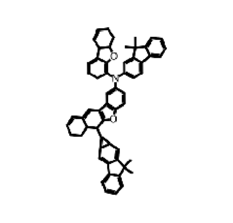 CC1(C)C2=CC3C(C=C2c2ccccc21)C3C1c2oc3ccc(N(C4=C5OC6CCC=CC6C5=CCC4)c4ccc5c(c4)C(C)(C)c4ccccc4-5)cc3c2C=C2C=CCCC21